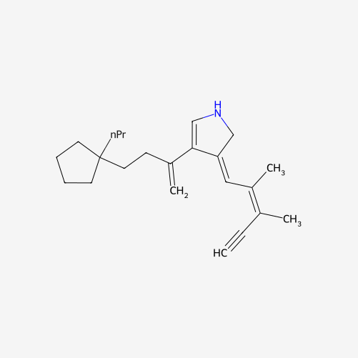 C#C/C(C)=C(C)\C=C1/CNC=C1C(=C)CCC1(CCC)CCCC1